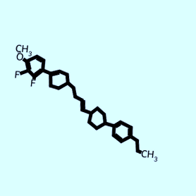 CCCc1ccc(C2CCC(/C=C/CCC3CC=C(c4ccc(OC)c(F)c4F)CC3)CC2)cc1